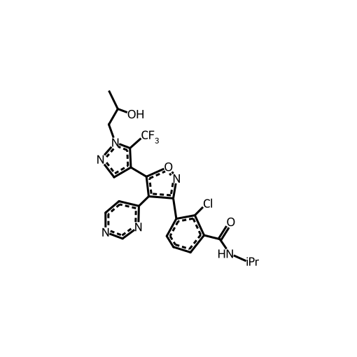 CC(O)Cn1ncc(-c2onc(-c3cccc(C(=O)NC(C)C)c3Cl)c2-c2ccncn2)c1C(F)(F)F